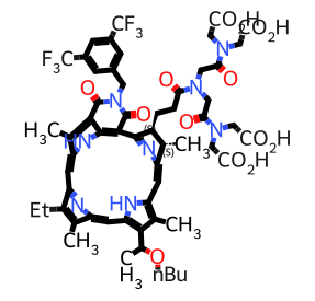 CCCCOC(C)c1c(C)c2cc3nc(c4c5[nH]c(cc6nc(cc1[nH]2)C(C)=C6CC)c(C)c5C(=O)N(Cc1cc(C(F)(F)F)cc(C(F)(F)F)c1)C4=O)[C@@H](CCC(=O)N(CC(=O)N(CC(=O)O)CC(=O)O)CC(=O)N(CC(=O)O)CC(=O)O)[C@@H]3C